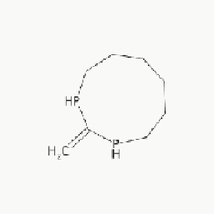 C=C1PCCCCCCP1